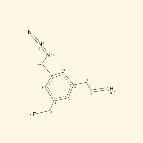 C=CCc1cc(CF)cc(CN=[N+]=[N-])c1